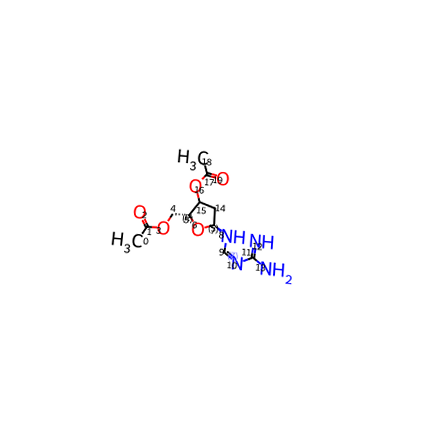 CC(=O)OC[C@H]1O[C@H](N/C=N\C(=N)N)CC1OC(C)=O